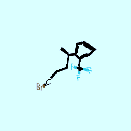 CC(CCCBr)c1ccccc1C(F)(F)F